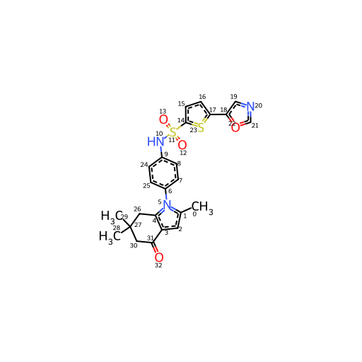 Cc1cc2c(n1-c1ccc(NS(=O)(=O)c3ccc(-c4cnco4)s3)cc1)CC(C)(C)CC2=O